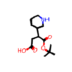 CC(C)(C)OC(=O)C(CC(=O)O)C1CCCNC1